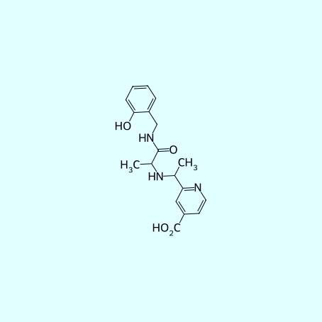 CC(NC(C)c1cc(C(=O)O)ccn1)C(=O)NCc1ccccc1O